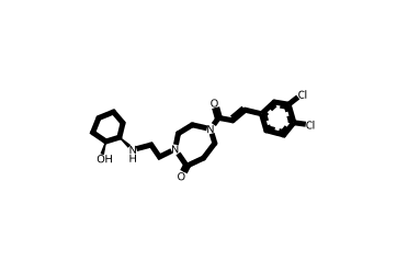 O=C(/C=C/c1ccc(Cl)c(Cl)c1)N1CCC(=O)N(CCN[C@@H]2CCCC[C@@H]2O)CC1